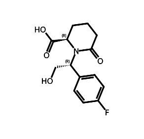 O=C(O)[C@H]1CCCC(=O)N1[C@@H](CO)c1ccc(F)cc1